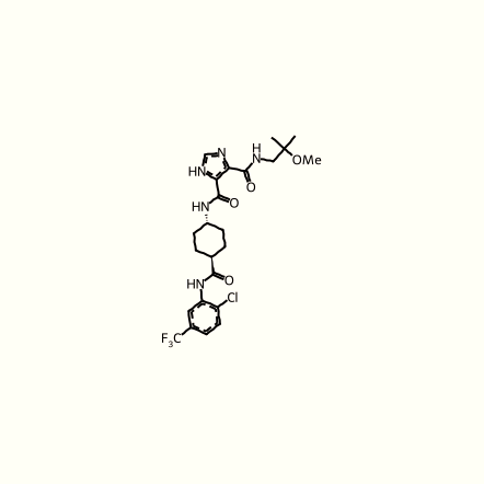 COC(C)(C)CNC(=O)c1nc[nH]c1C(=O)N[C@H]1CC[C@H](C(=O)Nc2cc(C(F)(F)F)ccc2Cl)CC1